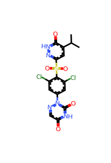 CC(C)c1cc(S(=O)(=O)c2c(Cl)cc(-n3ncc(=O)[nH]c3=O)cc2Cl)n[nH]c1=O